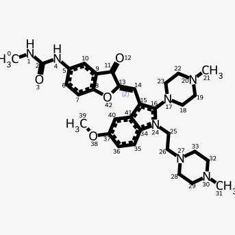 CNC(=O)Nc1ccc2c(c1)C(=O)/C(=C/c1c(N3CCN(C)CC3)n(CCN3CCN(C)CC3)c3ccc(OC)cc13)O2